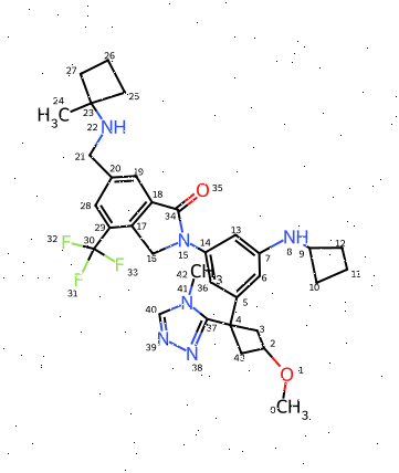 COC1CC(c2cc(NC3CCC3)cc(N3Cc4c(cc(CNC5(C)CCC5)cc4C(F)(F)F)C3=O)c2)(c2nncn2C)C1